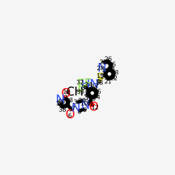 COc1cc(C(=O)N2CCN(C(=O)c3ccc(NCSc4cccc5cccnc45)c(C(F)(F)F)c3)CC2)ccn1